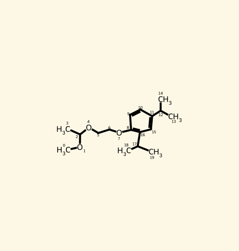 COC(C)OCCOc1ccc(C(C)C)cc1C(C)C